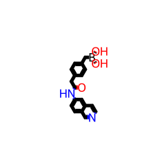 O=C(Cc1ccc(CB(O)O)cc1)Nc1ccc2cnccc2c1